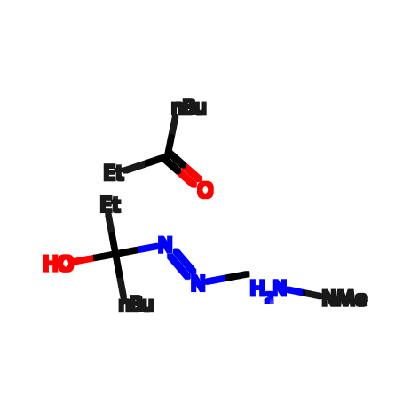 CCCCC(=O)CC.CCCCC(O)(CC)/N=N/C.CNN